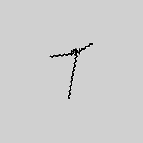 CCCCCCCCCCCCCCCCCCCc1n(CCCCCCC)cc[n+]1CCCCCCCCCC